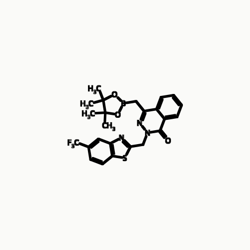 CC1(C)OB(Cc2nn(Cc3nc4cc(C(F)(F)F)ccc4s3)c(=O)c3ccccc23)OC1(C)C